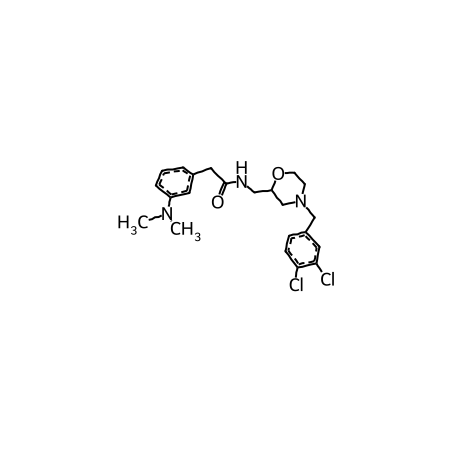 CN(C)c1cccc(CC(=O)NCC2CN(Cc3ccc(Cl)c(Cl)c3)CCO2)c1